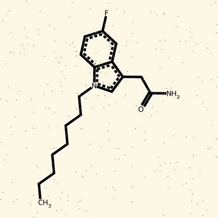 CCCCCCCCn1cc(CC(N)=O)c2cc(F)ccc21